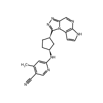 Cc1cc(N[C@H]2CC[C@@H](c3nnc4cnc5[nH]ccc5n34)C2)ncc1C#N